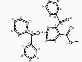 COC(=O)c1ccccc1C(=O)c1ccccc1.O=C(c1ccccc1)c1ccccc1